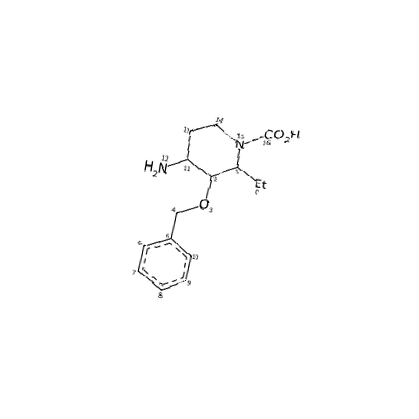 CCC1C(OCc2ccccc2)C(N)CCN1C(=O)O